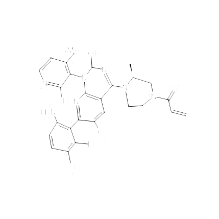 C=CC(=O)N1CCN(C2=NC(O)N(c3c(SC)ccnc3C(C)C)c3nc(-c4c(N)ccc(Cl)c4F)c(Cl)cc32)[C@@H](C)C1